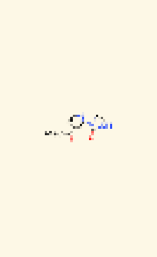 COC(=O)c1ccnc(N2CCNC2=O)c1